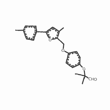 Cc1ccc(-c2cc(C)c(COc3ccc(OC(C)(C)C=O)cc3)o2)cc1